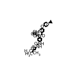 CC(C)(C)c1cc(NC(=O)Nc2ccc(NC(=O)c3ccc(OC4CCN(C5CC5)CC4)cn3)cc2)no1.CS(=O)(=O)O